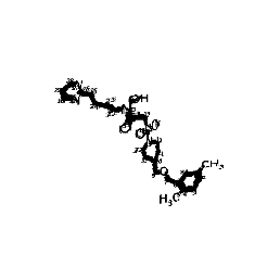 Cc1ccc(C)c(COCC2CCN(S(=O)(=O)CC(=O)N(O)CCCCc3ncccn3)CC2)c1